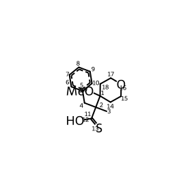 COC1(C(C)(Cc2ccccc2)C(O)=S)CCOCC1